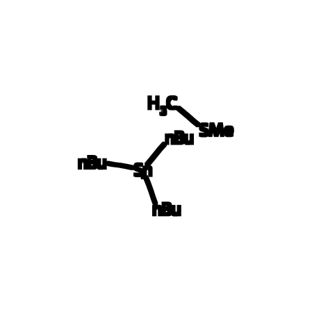 CCC[CH2][Sn]([CH2]CCC)[CH2]CCC.CSC